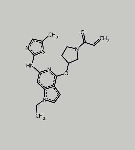 C=CC(=O)N1CCC(Oc2nc(Nc3ncc(C)s3)cc3c2ccn3CC)C1